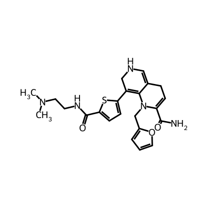 CN(C)CCNC(=O)c1ccc(C2=C3C(=CNC2)CC=C(C(N)=O)N3Cc2ccco2)s1